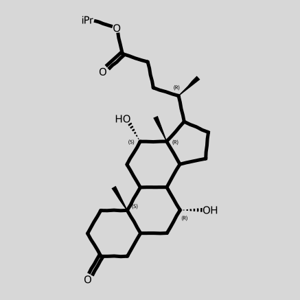 CC(C)OC(=O)CC[C@@H](C)C1CCC2C3C(C[C@H](O)[C@@]21C)[C@@]1(C)CCC(=O)CC1C[C@H]3O